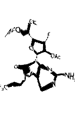 CCC(OC(C)=O)[C@H]1O[C@@H](n2c(=O)n(CCC(F)(F)F)c3cnc(N)nc32)[C@H](OC(C)=O)[C@H]1F